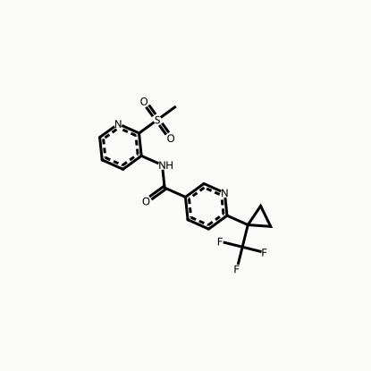 CS(=O)(=O)c1ncccc1NC(=O)c1ccc(C2(C(F)(F)F)CC2)nc1